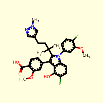 COc1cc(-n2c(C(C)(C)CCc3cnn(C)c3)c(-c3ccc(C(=O)O)c(OC)c3)c3c(O)c(F)ccc32)ccc1F